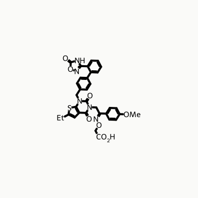 CCc1cc2c(=O)n(CC(=NOCC(=O)O)c3ccc(OC)cc3)c(=O)n(Cc3ccc(-c4ccccc4-c4noc(=O)[nH]4)cc3)c2s1